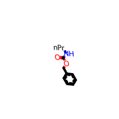 CCCNC(=O)OCc1ccccc1